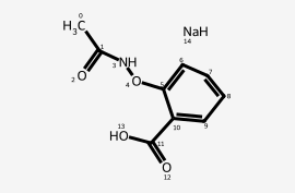 CC(=O)NOc1ccccc1C(=O)O.[NaH]